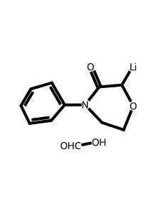 O=CO.[Li][CH]1OCCN(c2ccccc2)C1=O